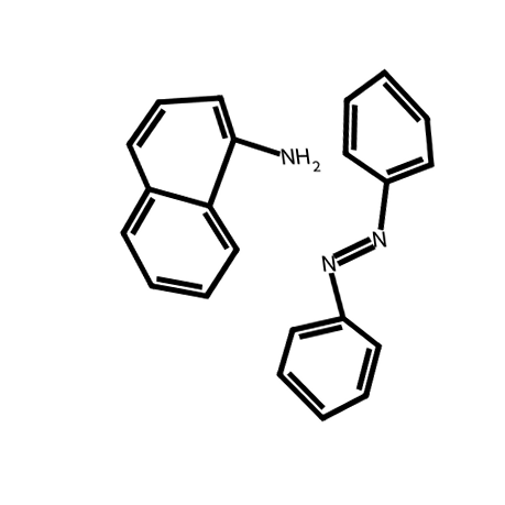 Nc1cccc2ccccc12.c1ccc(N=Nc2ccccc2)cc1